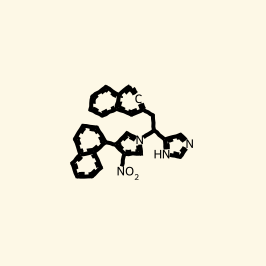 O=[N+]([O-])c1cn(C(Cc2ccc3ccccc3c2)c2cnc[nH]2)cc1-c1cccc2ccccc12